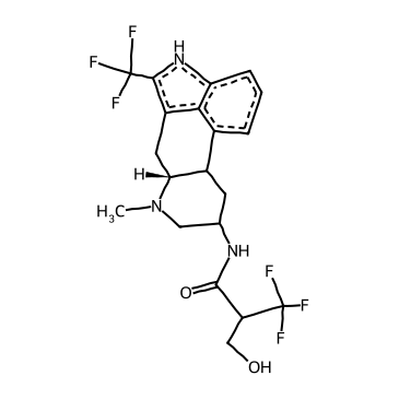 CN1CC(NC(=O)C(CO)C(F)(F)F)CC2c3cccc4[nH]c(C(F)(F)F)c(c34)C[C@H]21